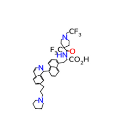 O=C(O)[C@H](Cc1cccc2c(-c3nccc4ccc(CCCN5CCCCC5)cc34)cccc12)NC(=O)C1(C(F)(F)F)CCN(CC(F)(F)F)CC1